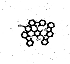 CC(C)(C)c1ccc(-c2c(-n3c4ccccc4c4ccccc43)c(C#N)c(-n3c4ccccc4c4ccc5c6ccccc6sc5c43)c(C#N)c2-n2c3ccccc3c3ccccc32)cc1